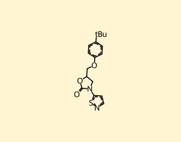 CC(C)(C)c1ccc(OCC2CN(c3ccns3)C(=O)O2)cc1